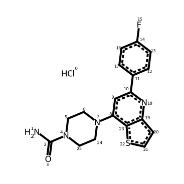 Cl.NC(=O)N1CCN(c2cc(-c3ccc(F)cc3)nc3ccsc23)CC1